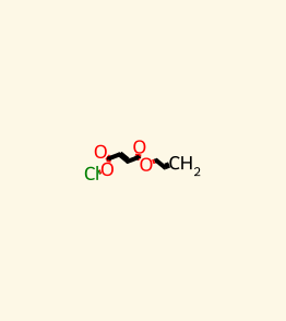 C=CCOC(=O)C=CC(=O)OCl